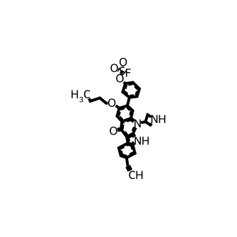 C#Cc1ccc2c(c1)[nH]c1c2c(=O)c2cc(OCCCC)c(-c3cccc(OS(=O)(=O)F)c3)cc2n1C1CNC1